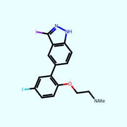 CNCCOc1ccc(F)cc1-c1ccc2[nH]nc(I)c2c1